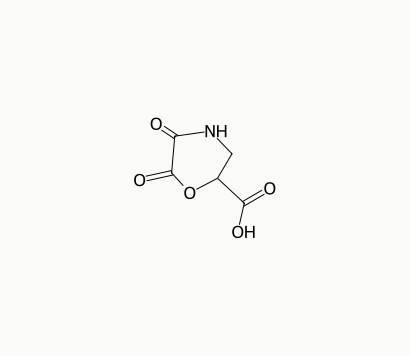 O=C1NCC(C(=O)O)OC1=O